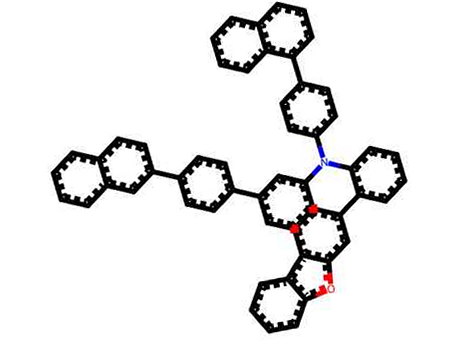 c1cc(-c2ccc(-c3ccc4ccccc4c3)cc2)cc(N(c2ccc(-c3cccc4ccccc34)cc2)c2ccccc2-c2ccc3c(c2)oc2ccccc23)c1